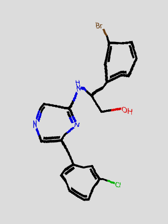 OCC(Nc1cncc(-c2cccc(Cl)c2)n1)c1cccc(Br)c1